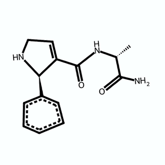 C[C@@H](NC(=O)C1=CCN[C@@H]1c1ccccc1)C(N)=O